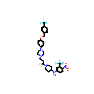 O=[N+]([O-])c1ccc(NC2CCN(C(=S)CCN3CCN(c4ccc(OCc5ccc(C(F)(F)F)cc5)cc4)CC3)CC2)cc1C(F)(F)F